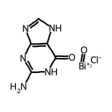 Nc1nc2nc[nH]c2c(=O)[nH]1.[Cl-].[O]=[Bi+]